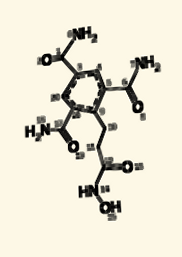 NC(=O)c1cc(C(N)=O)c(CCC(=O)NO)c(C(N)=O)c1